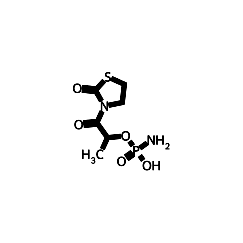 CC(OP(N)(=O)O)C(=O)N1CCSC1=O